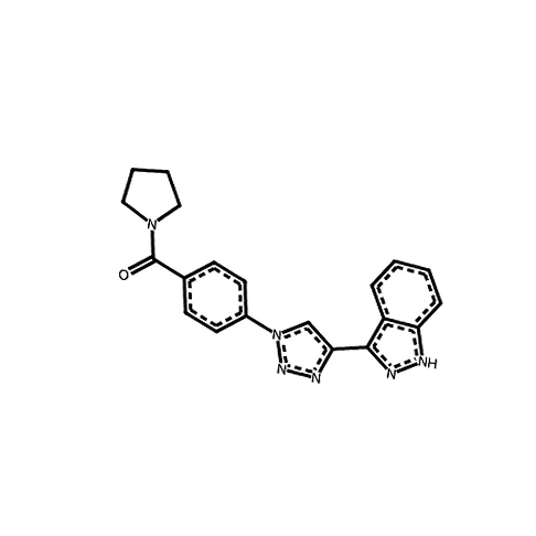 O=C(c1ccc(-n2cc(-c3n[nH]c4ccccc34)nn2)cc1)N1CCCC1